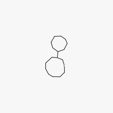 C1CCCCC(C2CCCCCCC2)CCCC1